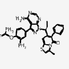 CC[C@@H](c1cc2scc(C)n2c(=O)c1-c1ccccc1)n1nc(-c2ccc(OC(F)P)c(P)c2)c2c(N)ncnc21